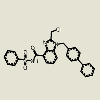 O=C(NS(=O)(=O)c1ccccc1)c1cccc2c1nc(CCl)n2Cc1ccc(-c2ccccc2)cc1